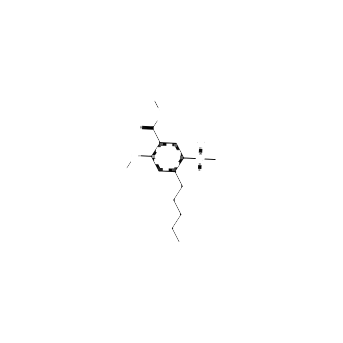 CCCCCc1cc(OC)c(C(=O)OC)cc1S(C)(=O)=O